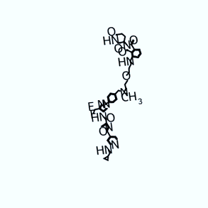 CN(CCCOCCCNc1cccc2c1C(=O)N(C1CCC(=O)NC1=O)C2=O)Cc1ccc(-n2cc(NC(=O)c3coc(-c4ccnc(NCC5CC5)c4)n3)c(C(F)F)n2)cc1